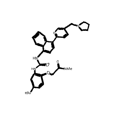 CNC(=O)COc1ccc(C(C)(C)C)cc1NC(=O)Nc1ccc(-c2ccc(CN3CCCC3)cn2)c2ccccc12